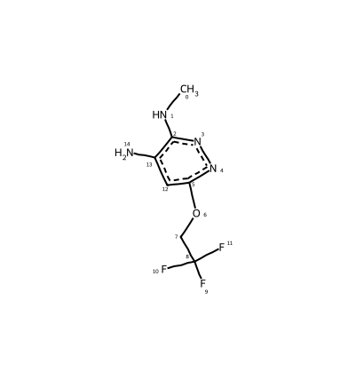 CNc1nnc(OCC(F)(F)F)cc1N